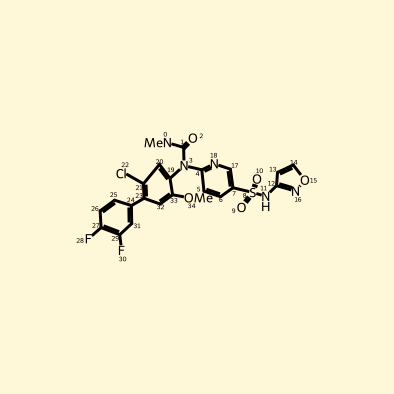 CNC(=O)N(c1ccc(S(=O)(=O)Nc2ccon2)cn1)c1cc(Cl)c(-c2ccc(F)c(F)c2)cc1OC